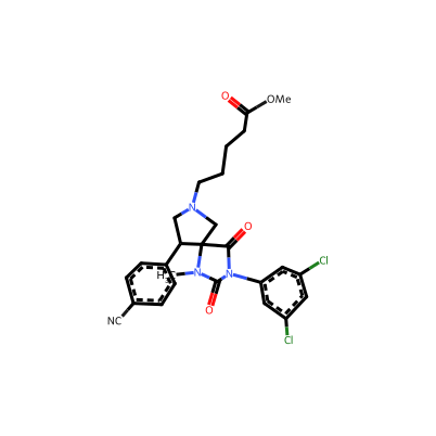 COC(=O)CCCCN1CC(c2ccc(C#N)cc2)C2(C1)C(=O)N(c1cc(Cl)cc(Cl)c1)C(=O)N2C